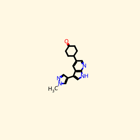 Cn1cc(-c2c[nH]c3ncc(C4CCC(=O)CC4)cc23)cn1